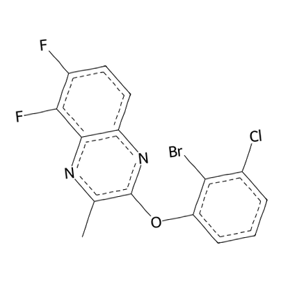 Cc1nc2c(F)c(F)ccc2nc1Oc1cccc(Cl)c1Br